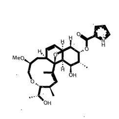 CO[C@@H]1CO[C@@H]([C@@H](C)O)[C@H](C)/C=C(\C)[C@]23O[C@@H]4[C@H](C=C[C@@H]2C1)[C@H]3[C@H](O)[C@@H](C)[C@H]4OC(=O)c1ccc[nH]1